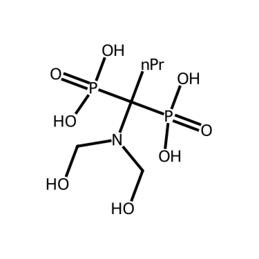 CCCC(N(CO)CO)(P(=O)(O)O)P(=O)(O)O